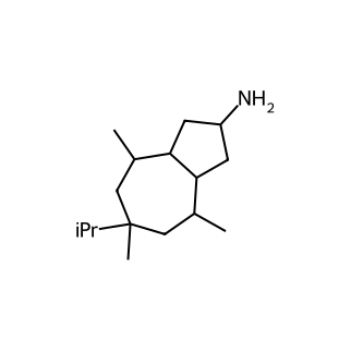 CC1CC(C)(C(C)C)CC(C)C2CC(N)CC12